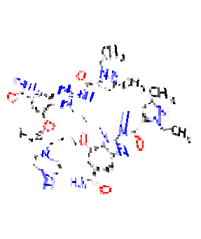 CCn1nc(C)cc1C(=O)Nc1nc2cc(C(N)=O)cc(OC)c2n1CCCCn1c(NC(=O)c2cc(C)nn2CC)nc2cc(C(N)=O)cc(OCCCN3CCNCC3)c21